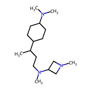 CC(CCN(C)C1CN(C)C1)C1CCC(N(C)C)CC1